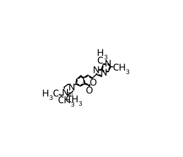 Cc1cn2cc(-c3cc4ccc(N5CCN(C(C)C)[C@H](C)C5)cc4c(=O)o3)nc2c(C)n1